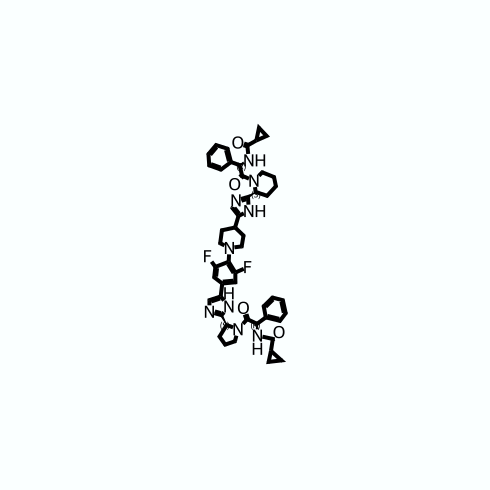 O=C(N[C@@H](C(=O)N1CCC[C@H]1c1ncc(-c2cc(F)c(N3CCC(c4cnc([C@@H]5CCCCN5C(=O)[C@H](NC(=O)C5CC5)c5ccccc5)[nH]4)CC3)c(F)c2)[nH]1)c1ccccc1)C1CC1